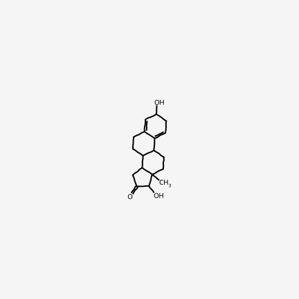 CC12CCC3C4=CCC(O)C=C4CCC3C1CC(=O)C2O